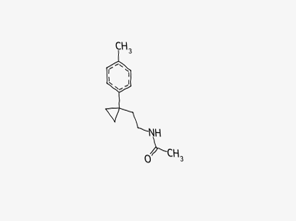 CC(=O)NCCC1(c2ccc(C)cc2)CC1